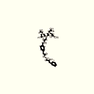 NC(Cc1ccccc1)C(=O)NNC(=O)Cc1ccc(CNC(=O)CN(CCN(CC(=O)O)CC(=O)O)CCN(CC(=O)O)CC(=O)O)cc1